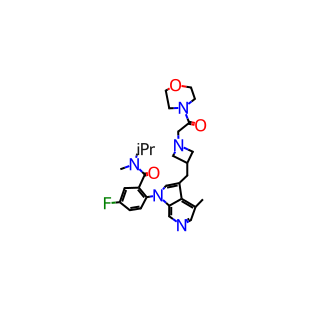 Cc1cncc2c1c(CC1CN(CC(=O)N3CCOCC3)C1)cn2-c1ccc(F)cc1C(=O)N(C)C(C)C